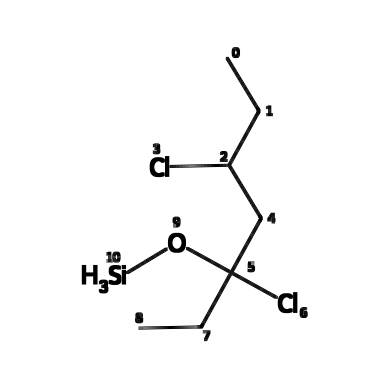 CCC(Cl)CC(Cl)(CC)O[SiH3]